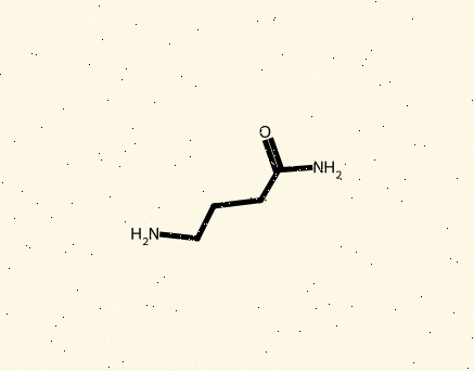 NCC[CH]C(N)=O